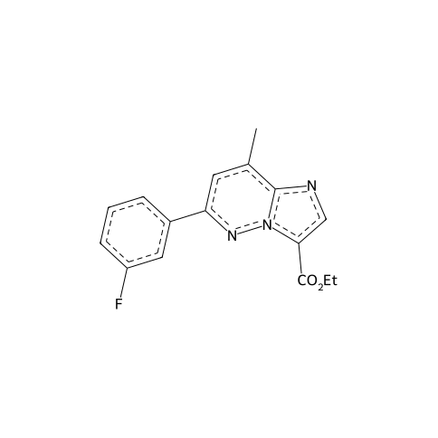 CCOC(=O)c1cnc2c(C)cc(-c3cccc(F)c3)nn12